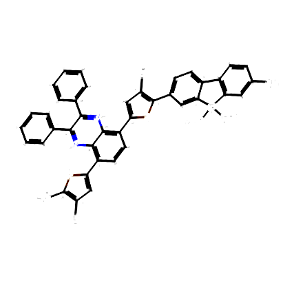 CCCCCCCC[Si]1(CCCCCCCC)c2cc(C)ccc2-c2ccc(-c3sc(-c4ccc(-c5cc(CC)c(C)s5)c5nc(-c6ccccc6)c(-c6ccccc6)nc45)cc3CC)cc21